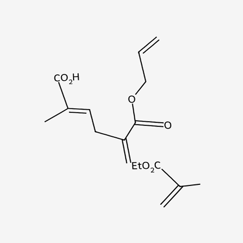 C=C(C)C(=O)OCC.C=CCOC(=O)C(=C)CC=C(C)C(=O)O